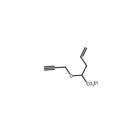 C#CCOC(CC=C)C(=O)OCC